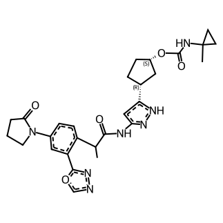 CC(C(=O)Nc1cc([C@@H]2CC[C@H](OC(=O)NC3(C)CC3)C2)[nH]n1)c1ccc(N2CCCC2=O)cc1-c1nnco1